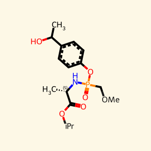 COCP(=O)(N[C@@H](C)C(=O)OC(C)C)Oc1ccc(C(C)O)cc1